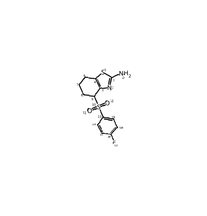 Nc1nc2c(s1)CCCC2S(=O)(=O)c1ccc(F)cc1